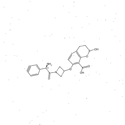 N[C@@H](C(=O)N1CC(Oc2ccc3c(c2C(=O)O)OB(O)CC3)C1)c1cc#ccc1